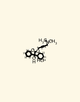 CN(C)CC#CCOC(=O)C(O)(c1ccccc1)C1CCCCC1.Cl